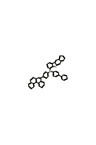 c1ccc(-c2ccc(N(c3ccc(-c4cc5ccc6ccccc6c5c5ccccc45)cc3)c3cccc4c3sc3cc5ccccc5cc34)cc2)cc1